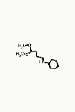 CO[C](CCCNC1CCCCC1)OC